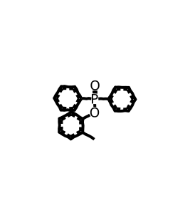 Cc1ccccc1OP(=O)(c1ccccc1)c1ccccc1